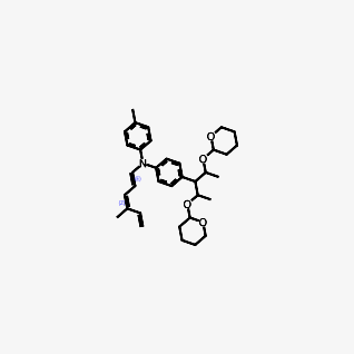 C=C/C(C)=C\C=C\N(c1ccc(C)cc1)c1ccc(C(C(C)OC2CCCCO2)C(C)OC2CCCCO2)cc1